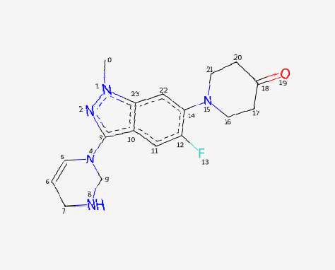 Cn1nc(N2C=CCNC2)c2cc(F)c(N3CCC(=O)CC3)cc21